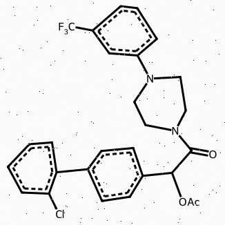 CC(=O)OC(C(=O)N1CCN(c2cccc(C(F)(F)F)c2)CC1)c1ccc(-c2ccccc2Cl)cc1